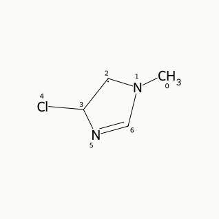 CN1[CH]C(Cl)N=C1